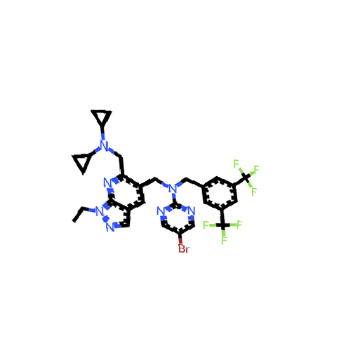 CCn1ncc2cc(CN(Cc3cc(C(F)(F)F)cc(C(F)(F)F)c3)c3ncc(Br)cn3)c(CN(C3CC3)C3CC3)nc21